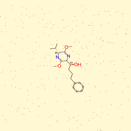 COC1=N[C@H](C(C)C)C(OC)=NC1[C@@H](O)CCCc1ccccc1